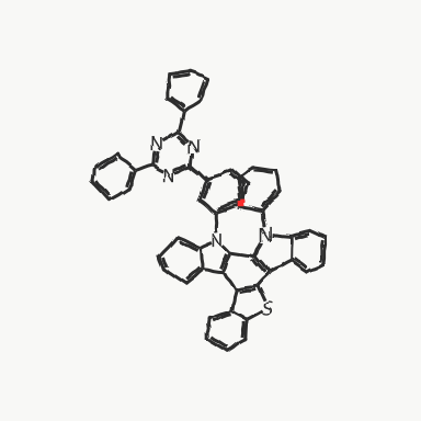 c1ccc(-c2nc(-c3ccccc3)nc(-c3cccc(-n4c5ccccc5c5c6c7ccccc7sc6c6c7ccccc7n(-c7ccccc7)c6c54)c3)n2)cc1